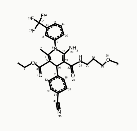 CCOC(=O)C1=C(C)N(c2cccc(C(F)(F)F)c2)C(N)=C(C(=O)NCCCOC)C1c1ccc(C#N)cc1